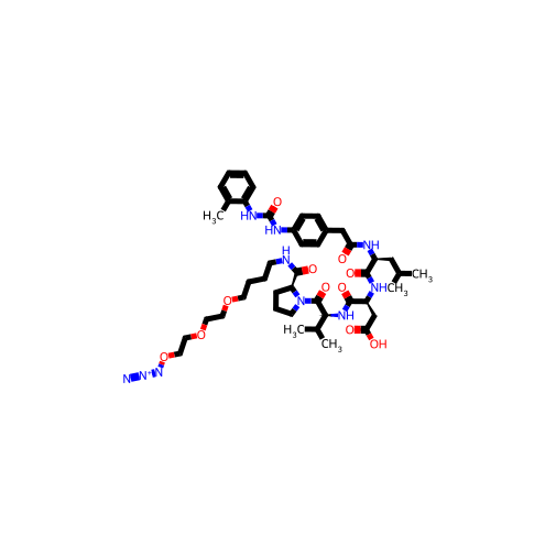 Cc1ccccc1NC(=O)Nc1ccc(CC(=O)N[C@@H](CC(C)C)C(=O)N[C@@H](CC(=O)O)C(=O)N[C@H](C(=O)N2CCC[C@H]2C(=O)NCCCCOCCOCCON=[N+]=[N-])C(C)C)cc1